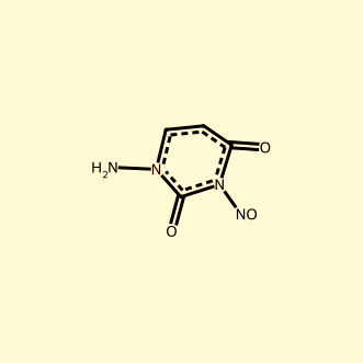 Nn1ccc(=O)n(N=O)c1=O